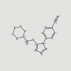 N#Cc1ccc(-n2nnnc2CNC2CCCCC2)cc1